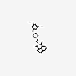 COc1cc(CN2CCN(CCN3C(=O)c4cccc5cccc(c45)C3=O)CC2)cc(OC)c1